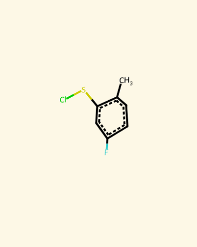 Cc1ccc(F)cc1SCl